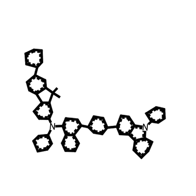 CC1(C)c2cc(-c3ccccc3)ccc2-c2ccc(N(c3ccccc3)c3ccc(-c4ccc(-c5ccc6c(c5)c5ccccc5n6-c5ccccc5)cc4)c4ccccc34)cc21